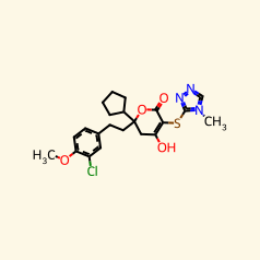 COc1ccc(CCC2(C3CCCC3)CC(O)=C(Sc3nncn3C)C(=O)O2)cc1Cl